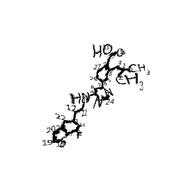 CC(C)Cc1cc(-c2cc(NCCc3cc(F)c4sccc4c3)ncn2)ccc1C(=O)O